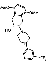 COc1ccc(OC)c2c1C[C@@H](O)[C@H](N1CCN(c3cccc(C(F)(F)F)c3)CC1)C2